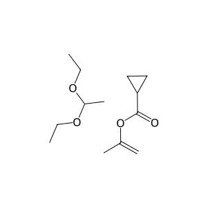 C=C(C)OC(=O)C1CC1.CCOC(C)OCC